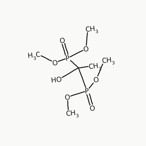 COP(=O)(OC)C(C)(O)P(=O)(OC)OC